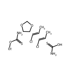 C1COCO1.CC=CCl.CC=CCl.CCOC(N)=S.NC(O)=S